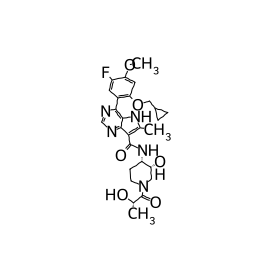 COc1cc(OCC2CC2)c(-c2ncnc3c(C(=O)N[C@H]4CCN(C(=O)[C@H](C)O)C[C@H]4O)c(C)[nH]c23)cc1F